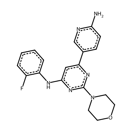 Nc1ccc(-c2cc(Nc3ccccc3F)nc(N3CCOCC3)n2)cn1